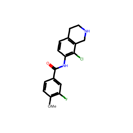 COc1ccc(C(=O)Nc2ccc3c(c2Cl)CNCC3)cc1F